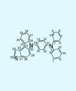 c1ccc(N(c2ccccc2)c2ccc(-n3c4ccccc4c4c5ccsc5ccc43)cc2)cc1